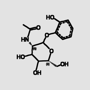 CC(=O)N[C@@H]1C(Oc2ccccc2O)O[C@H](CO)C(O)C1O